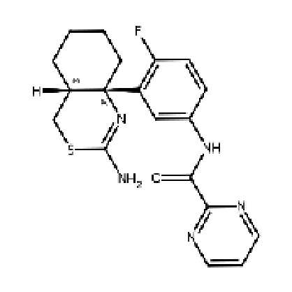 NC1=N[C@@]2(c3cc(NC(=O)c4ncccn4)ccc3F)CCCC[C@H]2CS1